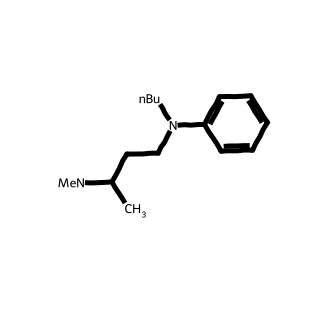 CCCCN(CCC(C)NC)c1ccccc1